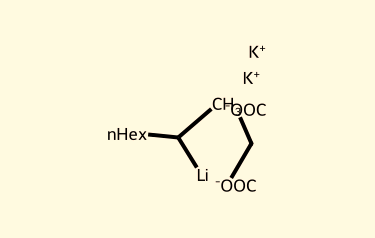 O=C([O-])CC(=O)[O-].[K+].[K+].[Li][CH](C)CCCCCC